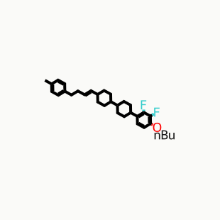 CCCCOc1ccc(C2CCC(C3CCC(/C=C/CCc4ccc(C)cc4)CC3)CC2)c(F)c1F